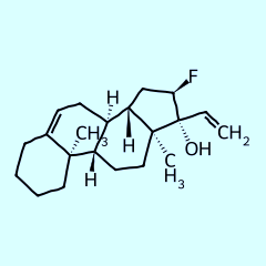 C=C[C@]1(O)[C@H](F)C[C@H]2[C@@H]3CC=C4CCCC[C@]4(C)[C@H]3CC[C@@]21C